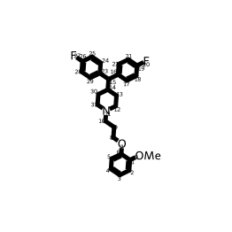 COc1ccccc1OCCCN1CCC(C(c2ccc(F)cc2)c2ccc(F)cc2)CC1